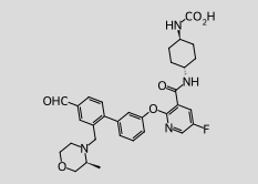 C[C@H]1COCCN1Cc1cc(C=O)ccc1-c1cccc(Oc2ncc(F)cc2C(=O)N[C@H]2CC[C@H](NC(=O)O)CC2)c1